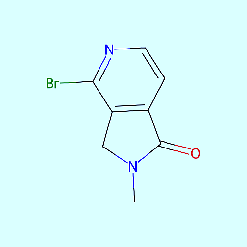 CN1Cc2c(ccnc2Br)C1=O